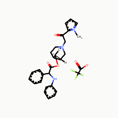 Cn1cccc1C(=O)C[N+]12CCC(CC1)[C@@H](OC(=O)C(Nc1ccccc1)c1ccccc1)C2.O=C([O-])C(F)(F)F